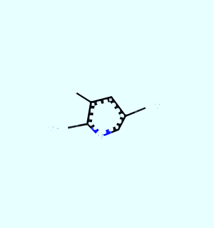 Bc1cc(OC)cnc1OC